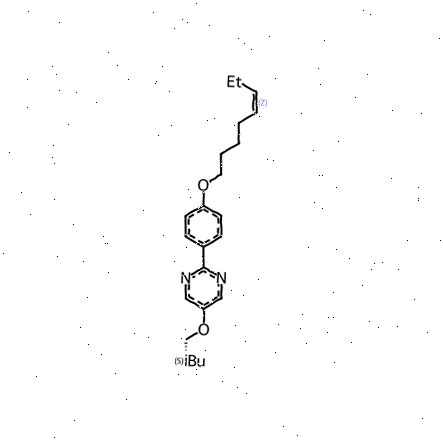 CC/C=C\CCCCOc1ccc(-c2ncc(OC[C@@H](C)CC)cn2)cc1